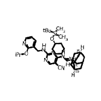 CC(C)Oc1ncccc1CNc1ncc(C#N)c(NC[C@]23CC4C[C@H](C2)[C@@H](NC[C@H]2CC[C@H](O[Si](C)(C)C(C)(C)C)CC2)[C@@H](C4)C3)n1